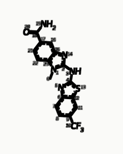 Cn1c(Nc2nc3ccc(C(F)(F)F)cc3s2)nc2cc(C(N)=O)ccc21